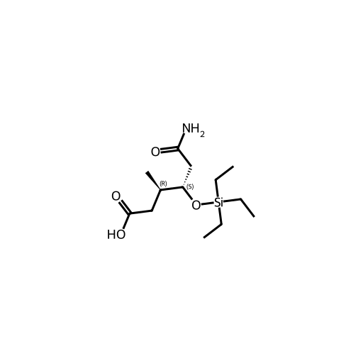 CC[Si](CC)(CC)O[C@@H](CC(N)=O)[C@H](C)CC(=O)O